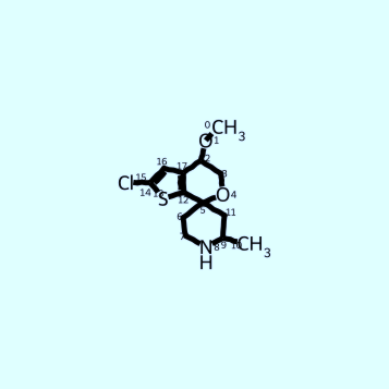 COC1COC2(CCNC(C)C2)c2sc(Cl)cc21